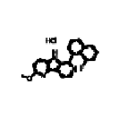 COc1ccc2[nH]c3c(-c4cccc5cccc(F)c45)nccc3c2n1.Cl